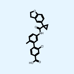 Cc1ccc(NC(=O)C2(c3ccc4c(c3)CCO4)CC2)cc1-c1ccc(C(=O)O)cc1Cl